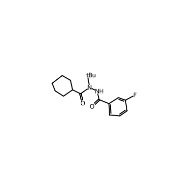 CC(C)(C)N(NC(=O)c1cccc(F)c1)C(=O)C1CCCCC1